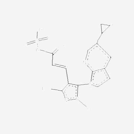 CCCCCS(=O)(=O)NC(=O)C=Cc1c(C)nn(C)c1-n1ccc2cc(C3CC3)cnc21